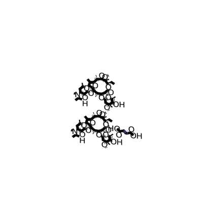 CC[C@H]1OC(=O)[C@H](C)[C@@H](O[C@H]2C[C@@](C)(OC)[C@@H](O)[C@H](C)O2)[C@H](C)[C@@H](O[C@@H]2O[C@H](C)C[C@H](N(C)C(C)C)[C@H]2O)[C@@]2(C)CC(C)=C(O2)[C@H](C)C(=O)[C@]1(C)OC.CC[C@H]1OC(=O)[C@H](C)[C@@H](O[C@H]2C[C@@](C)(OC)[C@@H](O)[C@H](C)O2)[C@H](C)[C@@H](O[C@@H]2O[C@H](C)C[C@H](N(C)C(C)C)[C@H]2O)[C@@]2(C)CC(C)=C(O2)[C@H](C)C(=O)[C@]1(C)OC.O=C(O)/C=C/C(=O)O